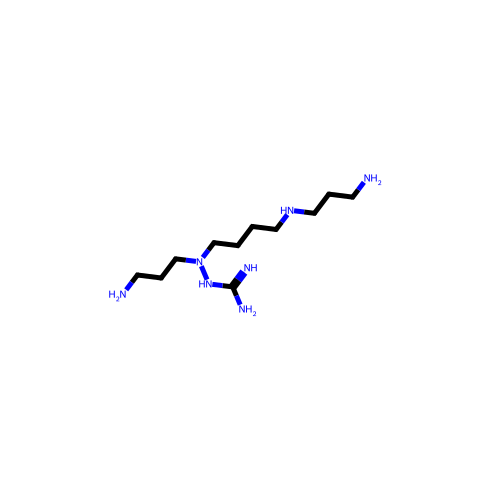 N=C(N)NN(CCCN)CCCCNCCCN